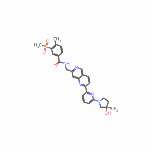 Cc1ccc(C(=O)NCc2cc3nc(-c4cccc(N5CC[C@@](O)(C(F)(F)F)C5)n4)ccc3cn2)cc1S(C)(=O)=O